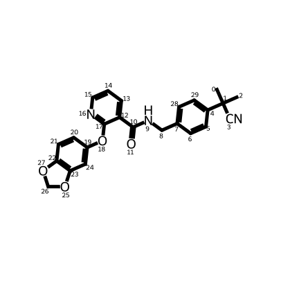 CC(C)(C#N)c1ccc(CNC(=O)c2cccnc2Oc2ccc3c(c2)OCO3)cc1